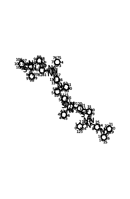 c1ccc(-c2nc(-c3ccc(-n4c5ccccc5c5ccccc54)cc3)nc(-c3cccc4c3sc3cc(-c5nc(-c6ccccc6)c6sc7cc(-c8cccc9c8c8ccccc8n9-c8ccc(-c9nc(-c%10ccccc%10)nc(-c%10cccc%11c%10sc%10cccc(-c%12nc(-c%13ccccc%13)c%13sc%14ccccc%14c%13n%12)c%10%11)n9)cc8)ccc7c6n5)ccc34)n2)cc1